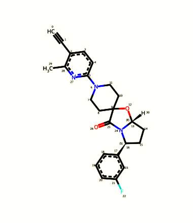 C#Cc1ccc(N2CCC3(CC2)O[C@@H]2CC[C@@H](c4cccc(F)c4)N2C3=O)nc1C